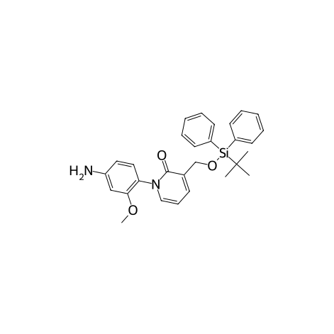 COc1cc(N)ccc1-n1cccc(CO[Si](c2ccccc2)(c2ccccc2)C(C)(C)C)c1=O